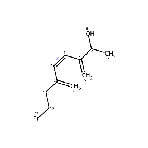 C=C(/C=C\C(=C)C(C)O)CCC(C)C